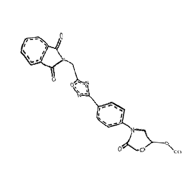 O=C(O)OC1CN(c2ccc(-c3noc(CN4C(=O)c5ccccc5C4=O)n3)cc2)C(=O)O1